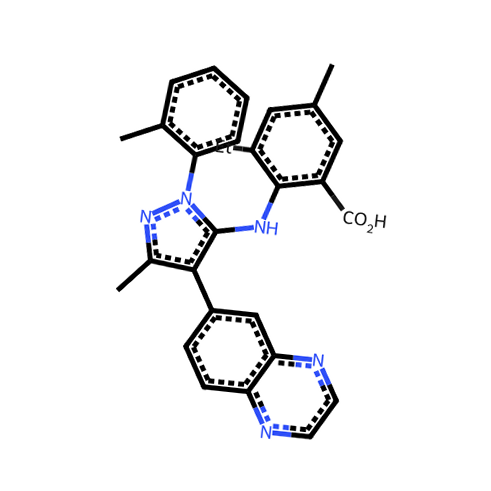 CCc1cc(C)cc(C(=O)O)c1Nc1c(-c2ccc3nccnc3c2)c(C)nn1-c1ccccc1C